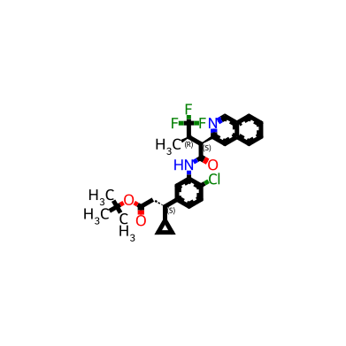 C[C@H]([C@H](C(=O)Nc1cc([C@@H](CC(=O)OC(C)(C)C)C2CC2)ccc1Cl)c1cc2ccccc2cn1)C(F)(F)F